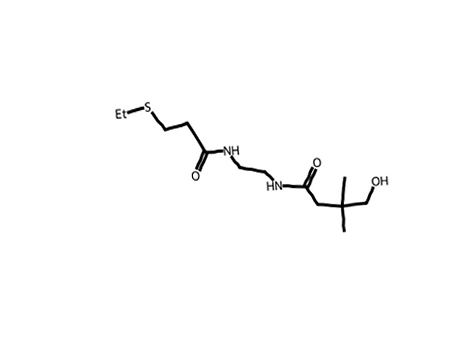 CCSCCC(=O)NCCNC(=O)CC(C)(C)CO